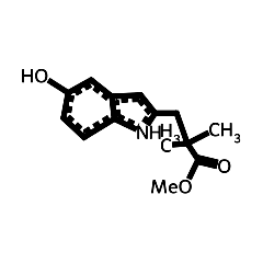 COC(=O)C(C)(C)Cc1cc2cc(O)ccc2[nH]1